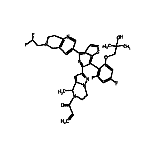 C=CC(=O)N1CCn2nc(-c3nc(-c4cnc5c(c4)CN(CC(F)F)CC5)c4ccsc4c3-c3c(F)cc(F)cc3OCC(C)(C)O)cc2C1C